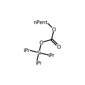 CCCCCOC(=O)O[Si](C(C)C)(C(C)C)C(C)C